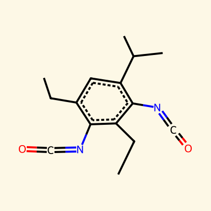 CCc1cc(C(C)C)c(N=C=O)c(CC)c1N=C=O